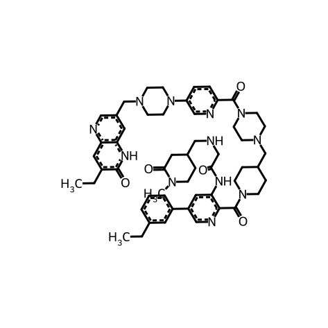 CCc1cccc(-c2cnc(C(=O)N3CCC(CN4CCN(C(=O)c5ccc(N6CCN(Cc7cnc8cc(CC)c(=O)[nH]c8c7)CC6)cn5)CC4)CC3)c(NC(=O)CNCC3CCN(C)C(=O)C3)c2)c1